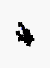 Cc1cc(/C=C/C#N)cc(C)c1Oc1nc(NC23CC(C#N)(C2)C3)nc2c1nc(C)n2CC1(C#N)CC1